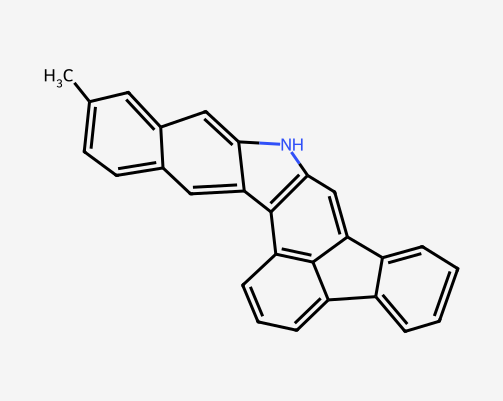 Cc1ccc2cc3c(cc2c1)[nH]c1cc2c4c(cccc4c13)-c1ccccc1-2